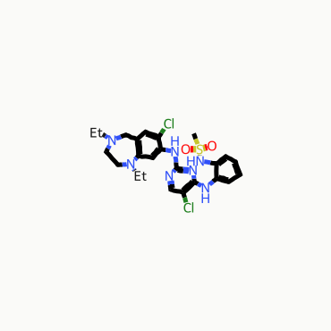 CCN1CCN(CC)c2cc(Nc3ncc(Cl)c(Nc4ccccc4NS(C)(=O)=O)n3)c(Cl)cc2C1